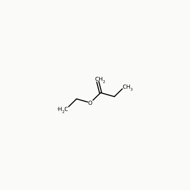 [CH2]COC(=C)CC